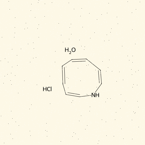 Cl.O.c1cccc[nH]ccc1